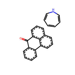 C1=CC=CNC=C1.O=C1c2ccccc2-c2cccc3cccc1c23